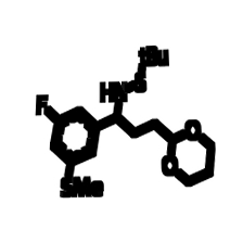 CSc1cc(F)cc(C(CCC2OCCCO2)NSC(C)(C)C)c1